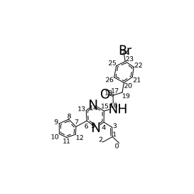 CC(C)=Cc1nc(-c2ccccc2)cnc1NC(=O)Cc1ccc(Br)cc1